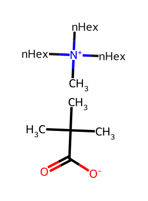 CC(C)(C)C(=O)[O-].CCCCCC[N+](C)(CCCCCC)CCCCCC